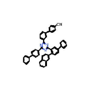 N#Cc1ccc(-c2cccc(-c3nc(-c4ccc(-c5ccccc5)cc4)nc(-c4cc(-c5ccccc5)ccc4-c4ccc5ccccc5c4)n3)c2)cc1